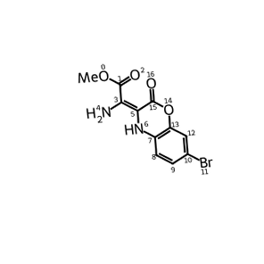 COC(=O)/C(N)=C1/Nc2ccc(Br)cc2OC1=O